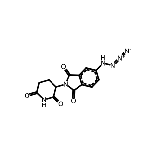 [N-]=[N+]=NNc1ccc2c(c1)C(=O)N(C1CCC(=O)NC1=O)C2=O